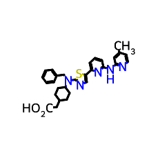 Cc1ccnc(Nc2cccc(-c3cnc(N(Cc4ccccc4)C4CCC(CC(=O)O)CC4)s3)n2)c1